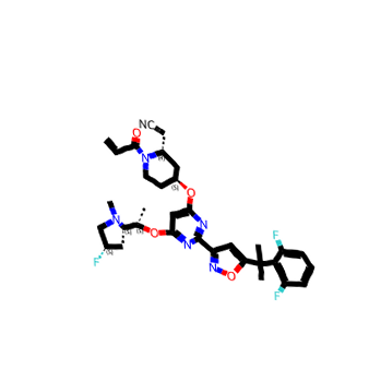 C=CC(=O)N1CC[C@H](Oc2cc(O[C@@H](C)[C@@H]3C[C@H](F)CN3C)nc(-c3cc(C(C)(C)c4c(F)cccc4F)on3)n2)C[C@H]1CC#N